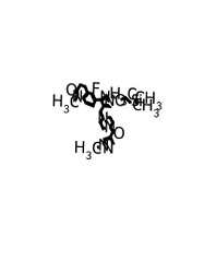 CN1C(=O)CCc2c1ccc(-c1nn(COCC[Si](C)(C)C)cc1CN1CCN(C(=O)c3cnn(C)c3)CC1)c2F